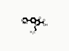 C=CCn1cc(C(=O)O)c(=O)c2ccc(-c3ccnnn3)cc21